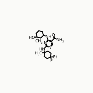 CCC1(F)CCC(C)(Nc2ncc(C(N)=O)c(NC3CCC[C@](C)(O)C3)n2)CC1